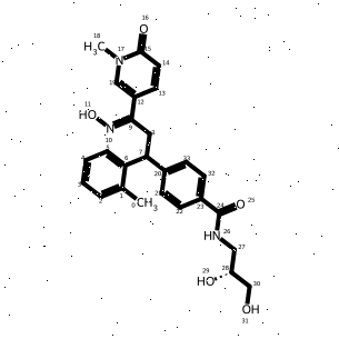 Cc1ccccc1C(C/C(=N/O)c1ccc(=O)n(C)c1)c1ccc(C(=O)NC[C@@H](O)CO)cc1